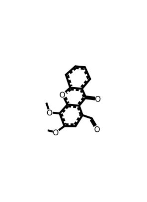 COc1cc(C=O)c2c(=O)c3ccccc3oc2c1OC